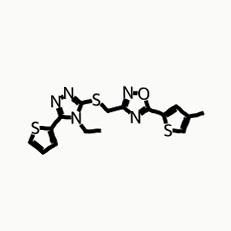 CCn1c(SCc2noc(-c3cc(C)cs3)n2)nnc1-c1cccs1